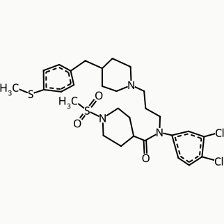 CSc1ccc(CC2CCN(CCCN(C(=O)C3CCN(S(C)(=O)=O)CC3)c3ccc(Cl)c(Cl)c3)CC2)cc1